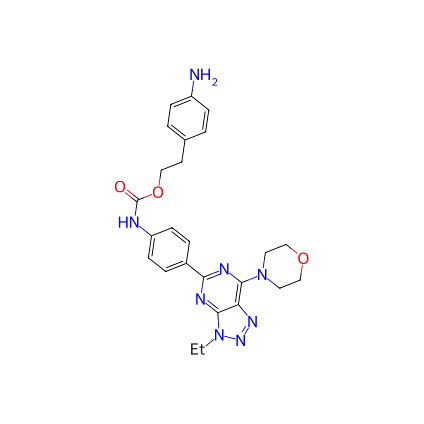 CCn1nnc2c(N3CCOCC3)nc(-c3ccc(NC(=O)OCCc4ccc(N)cc4)cc3)nc21